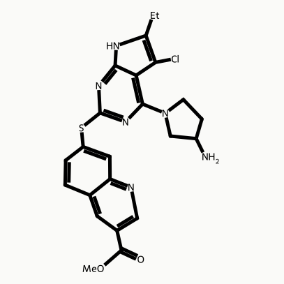 CCc1[nH]c2nc(Sc3ccc4cc(C(=O)OC)cnc4c3)nc(N3CCC(N)C3)c2c1Cl